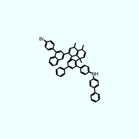 CC1C=CC(C)(c2ccc(-c3ccccc3)cc2-c2ccc(Nc3ccc(-c4ccccc4)cc3)cc2)C2=C1C(C)C=C(c1cc(-c3ccc(Br)cc3)c3ccccc3c1)C2C